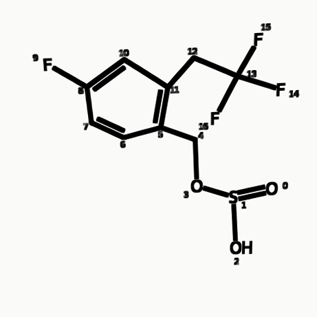 O=S(O)OCc1ccc(F)cc1CC(F)(F)F